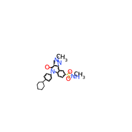 CNS(=O)(=O)c1ccc2c(c1)c1nn(C)cc1c(=O)n2-c1ccc(C2CCCCC2)cc1